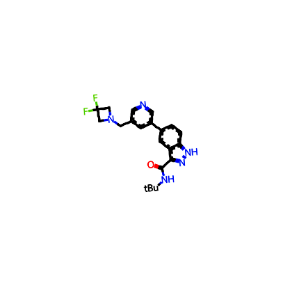 CC(C)(C)NC(=O)c1n[nH]c2ccc(-c3cncc(CN4CC(F)(F)C4)c3)cc12